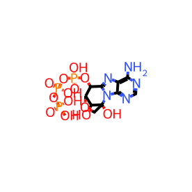 Nc1ncnc2c1nc1n2C2(O)COC(C1OP(=O)(O)OP(=O)(O)OP(=O)(O)O)C2O